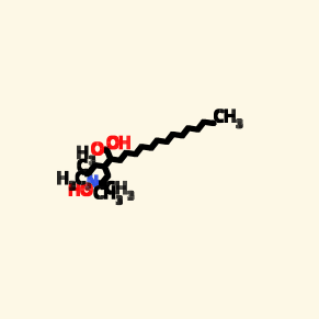 CCCCCCCCCCCCCCC(C(=O)O)C1CC(C)(C)N(O)C(C)(C)C1